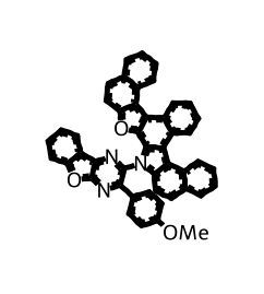 COc1ccc(-c2nc3oc4ccccc4c3nc2-n2c3ccc4ccccc4c3c3c4ccccc4c4c(oc5ccc6ccccc6c54)c32)cc1